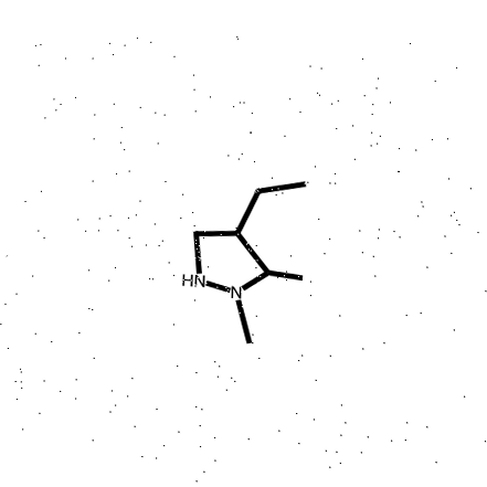 CCC1CNN(C)C1C